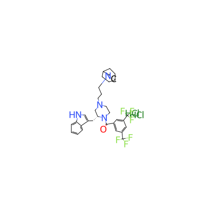 Cl.Cl.O=C(c1cc(C(F)(F)F)cc(C(F)(F)F)c1)N1CCN(CCCN2CC3CCC(CC3)C2)C[C@H]1Cc1c[nH]c2ccccc12